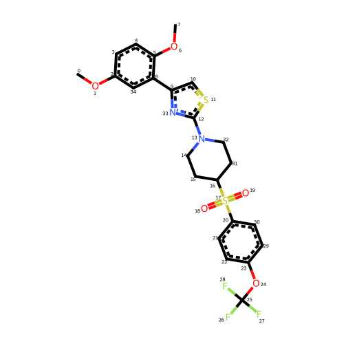 COc1ccc(OC)c(-c2csc(N3CCC(S(=O)(=O)c4ccc(OC(F)(F)F)cc4)CC3)n2)c1